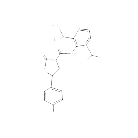 CC(C)c1cccc(C(C)C)c1NC(=O)C1CC(c2ccc(F)cc2)OC1=O